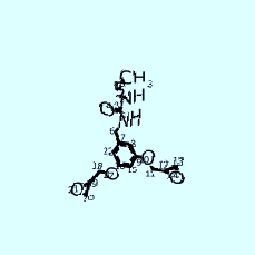 CSNC(=O)NCc1cc(OCC2CO2)cc(OCC2CO2)c1